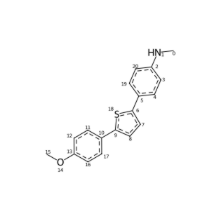 CNc1ccc(-c2ccc(-c3ccc(OC)cc3)s2)cc1